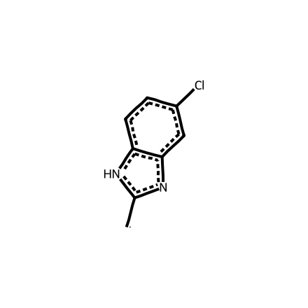 [CH2]c1nc2cc(Cl)ccc2[nH]1